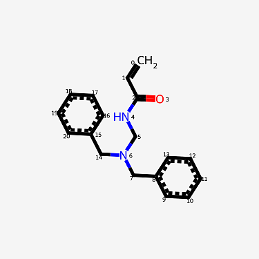 C=CC(=O)NCN(Cc1ccccc1)Cc1ccccc1